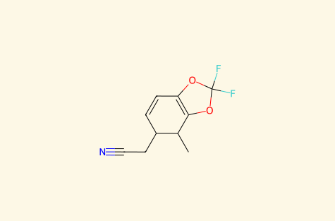 CC1C2=C(C=CC1CC#N)OC(F)(F)O2